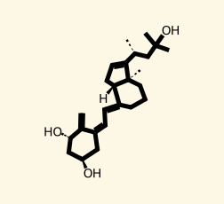 C=C1/C(=C\C=C2/CCC[C@]3(C)C([C@H](C)CC(C)(C)O)=CC[C@@H]23)C[C@@H](O)C[C@@H]1O